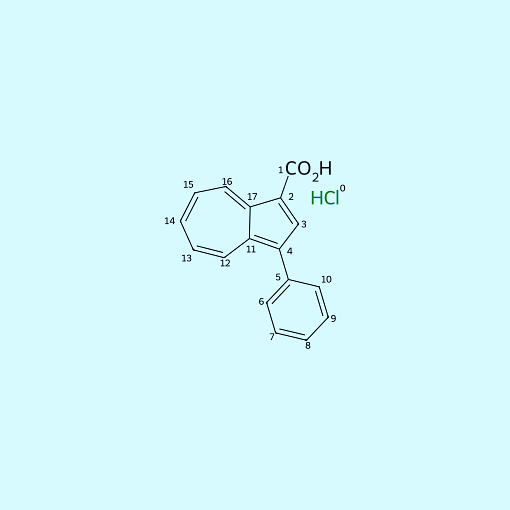 Cl.O=C(O)c1cc(-c2ccccc2)c2cccccc1-2